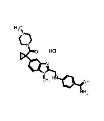 CN1CCN(C(=O)C2(c3ccc4c(c3)nc(CNc3ccc(C(=N)N)cc3)n4C)CC2)CC1.Cl